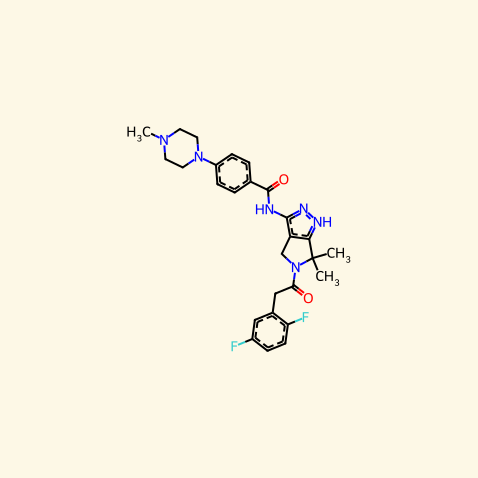 CN1CCN(c2ccc(C(=O)Nc3n[nH]c4c3CN(C(=O)Cc3cc(F)ccc3F)C4(C)C)cc2)CC1